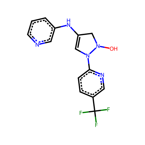 ON1CC(Nc2cccnc2)=CN1c1ccc(C(F)(F)F)cn1